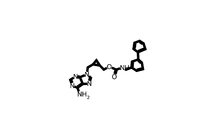 Nc1ncnc2c1ncn2CC1CC1COC(=O)NCc1cccc(-c2ccccc2)c1